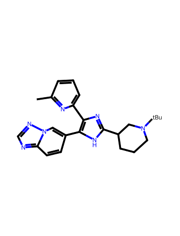 Cc1cccc(-c2nc(C3CCCN(C(C)(C)C)C3)[nH]c2-c2ccc3ncnn3c2)n1